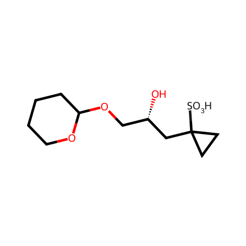 O=S(=O)(O)C1(C[C@@H](O)COC2CCCCO2)CC1